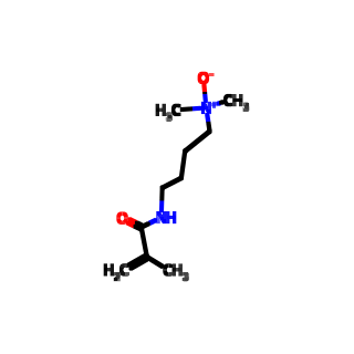 C=C(C)C(=O)NCCCC[N+](C)(C)[O-]